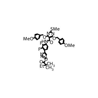 CCC(C)(C)C(=O)On1cc(-c2ccc(NC(=O)c3c(OCc4ccc(OC)cc4)nc(SC)nc3OCc3ccc(OC)cc3)c(F)c2F)nn1